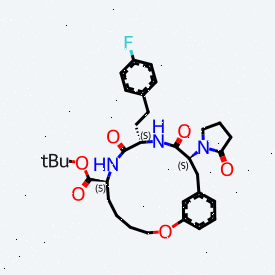 CC(C)(C)OC(=O)[C@@H]1CCCCOc2cccc(c2)C[C@H](N2CCCC2=O)C(=O)N[C@@H](CCc2ccc(F)cc2)C(=O)N1